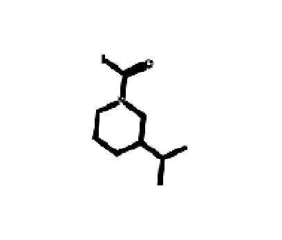 CC(C)C1CCCN(C(=O)I)C1